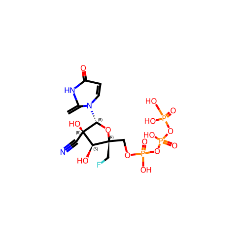 C=C1NC(=O)C=CN1[C@@H]1O[C@](CF)(COP(=O)(O)OP(=O)(O)OP(=O)(O)O)[C@@H](O)[C@]1(O)C#N